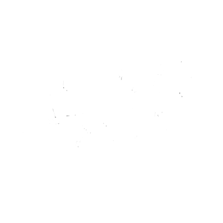 CC(C)Oc1cccnc1N(C)C1CCN(C(=O)c2c[nH]c3ccccc23)CC1